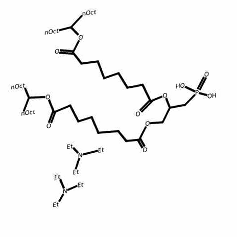 CCCCCCCCC(CCCCCCCC)OC(=O)CCCCCCC(=O)OCC(CP(=O)(O)O)OC(=O)CCCCCCC(=O)OC(CCCCCCCC)CCCCCCCC.CCN(CC)CC.CCN(CC)CC